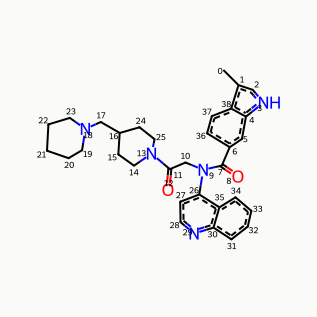 Cc1c[nH]c2cc(C(=O)N(CC(=O)N3CCC(CN4CCCCC4)CC3)c3ccnc4ccccc34)ccc12